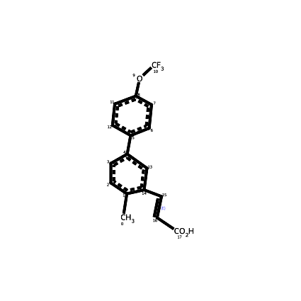 Cc1ccc(-c2ccc(OC(F)(F)F)cc2)cc1/C=C/C(=O)O